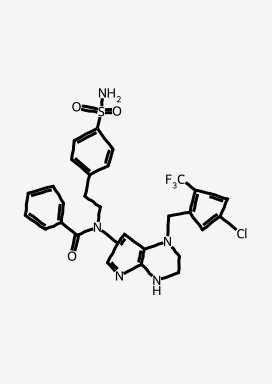 NS(=O)(=O)c1ccc(CCN(C(=O)c2ccccc2)c2cnc3c(c2)N(Cc2cc(Cl)ccc2C(F)(F)F)CCN3)cc1